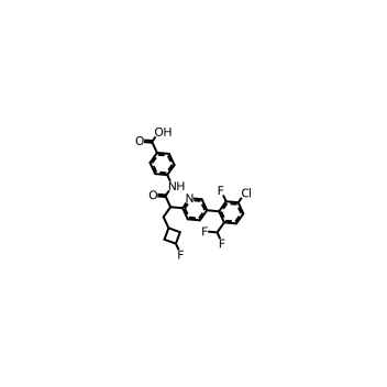 O=C(O)c1ccc(NC(=O)C(CC2CC(F)C2)c2ccc(-c3c(C(F)F)ccc(Cl)c3F)cn2)cc1